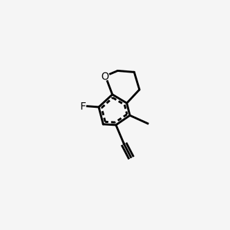 C#Cc1cc(F)c2c(c1C)CCCO2